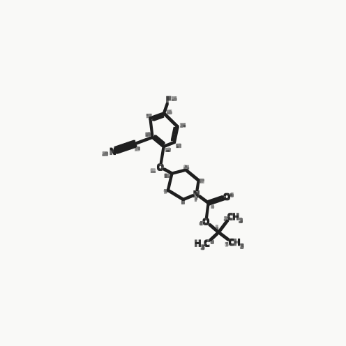 CC(C)(C)OC(=O)N1CCC(Oc2ccc(F)cc2C#N)CC1